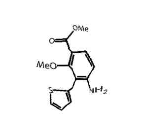 COC(=O)c1ccc(N)c(-c2cccs2)c1OC